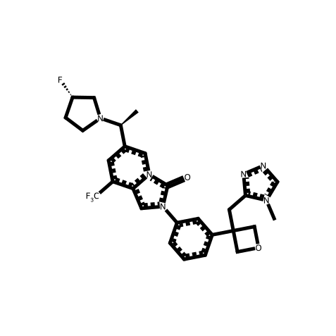 C[C@@H](c1cc(C(F)(F)F)c2cn(-c3cccc(C4(Cc5nncn5C)COC4)c3)c(=O)n2c1)N1CC[C@H](F)C1